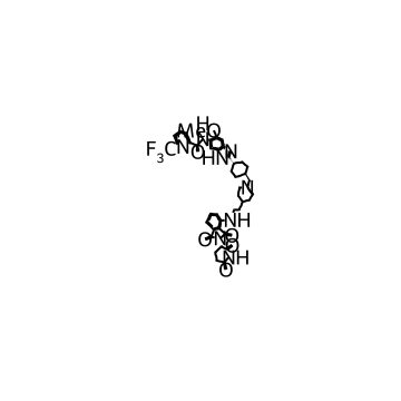 COc1cc2nc([C@H]3CC[C@H](CN4CCC(CCNc5cccc6c5C(=O)N(C5CCC(=O)NC5=O)C6=O)CC4)CC3)[nH]c2cc1NC(=O)c1cccc(C(F)(F)F)n1